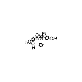 CCc1sc(NC(=O)c2ccc(O)c(O)c2)nc1-c1ccc(O)cc1.c1cc2cc-2c1